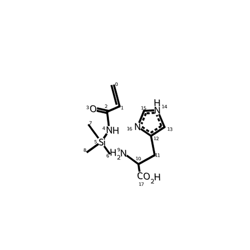 C=CC(=O)N[Si](C)(C)C.NC(Cc1c[nH]cn1)C(=O)O